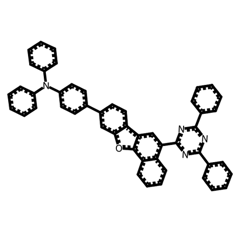 c1ccc(-c2nc(-c3ccccc3)nc(-c3cc4c5ccc(-c6ccc(N(c7ccccc7)c7ccccc7)cc6)cc5oc4c4ccccc34)n2)cc1